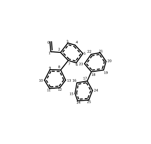 C=Cc1ccccc1-c1ccccc1.c1ccc(-c2ccccc2)cc1